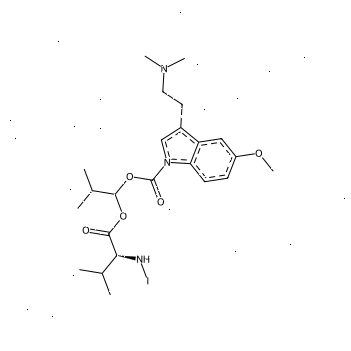 COc1ccc2c(c1)c(CCN(C)C)cn2C(=O)OC(OC(=O)[C@@H](NI)C(C)C)C(C)C